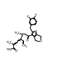 C=C/C(=C\C=C(/C)C(=O)O)C(C)NC(=O)c1c(Cc2ccc(F)c(F)c2)sc2c1CCOC2